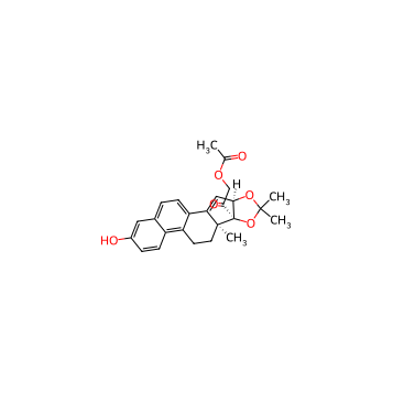 CC(=O)OCC(=O)[C@@]12OC(C)(C)O[C@@H]1C=C1c3ccc4cc(O)ccc4c3CC[C@@]12C